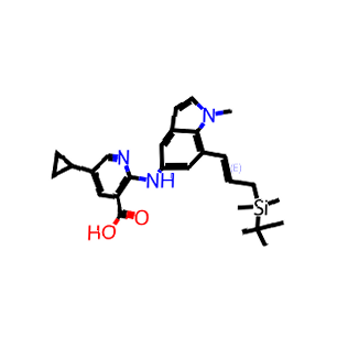 Cn1ccc2cc(Nc3ncc(C4CC4)cc3C(=O)O)cc(/C=C/C[Si](C)(C)C(C)(C)C)c21